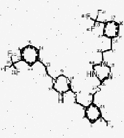 Fc1ccc(CSC2=NCN(CCc3cccc(C(F)(F)F)c3)CN2)c(CSC2=NCN(CCc3cccc(C(F)(F)F)c3)CN2)c1